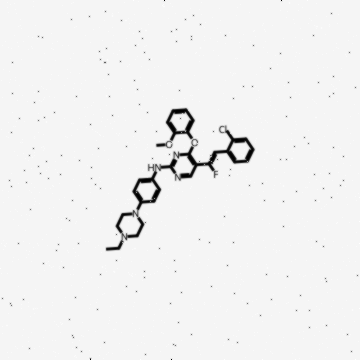 CCN1CCN(c2ccc(Nc3ncc(/C(F)=C/c4ccccc4Cl)c(Oc4ccccc4OC)n3)cc2)CC1